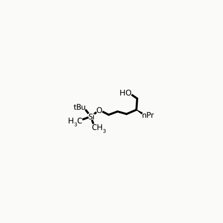 CCC[C@H](CO)CCCO[Si](C)(C)C(C)(C)C